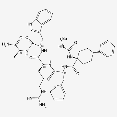 CCCCNC(=O)N[C@]1(C(=O)N[C@H](Cc2ccccc2)C(=O)N[C@@H](CCCNC(=N)N)C(=O)N[C@@H](Cc2c[nH]c3ccccc23)C(=O)N[C@@H](C)C(N)=O)CC[C@H](c2ccccc2)CC1